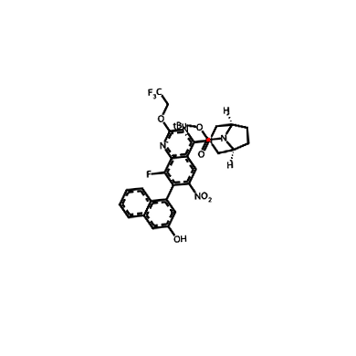 CC(C)(C)OC(=O)N1[C@@H]2CC[C@H]1CN(c1nc(OCC(F)(F)F)nc3c(F)c(-c4cc(O)cc5ccccc45)c([N+](=O)[O-])cc13)C2